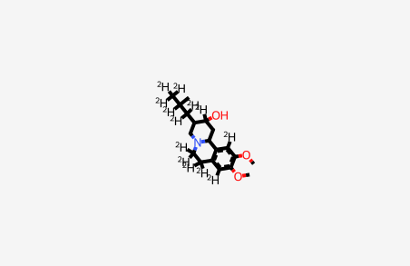 [2H]c1c(OC)c(OC)c([2H])c2c1C1CC([2H])(O)C(C([2H])([2H])C([2H])(C)C([2H])([2H])[2H])CN1C([2H])([2H])C2([2H])[2H]